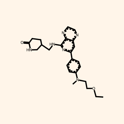 CCOCCN(C)c1ccc(-c2cc3nccnc3c(NCC3CCC(=O)NC3)n2)cc1